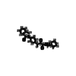 CC(C(=O)C(=O)NCc1ccccc1)c1ccc(N2Cc3ccccc3C2=O)cc1